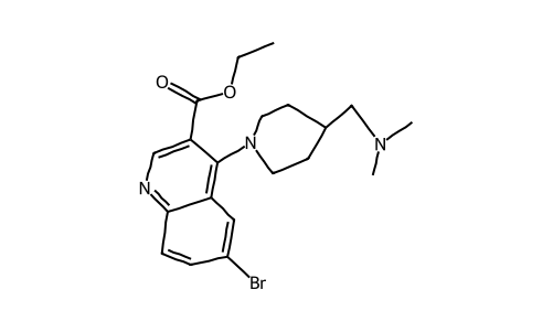 CCOC(=O)c1cnc2ccc(Br)cc2c1N1CCC(CN(C)C)CC1